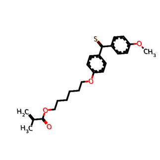 C=C(C)C(=O)OCCCCCCOc1ccc(C(=S)c2ccc(OC)cc2)cc1